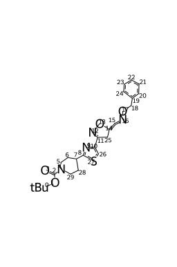 CC(C)(C)OC(=O)N1CCC(c2nc(C3=NOC(=C=NOCc4ccccc4)C3)cs2)CC1